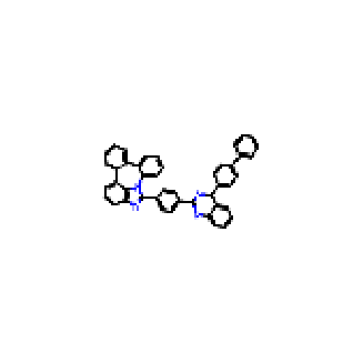 c1ccc(-c2ccc(-c3nc(-c4ccc(-c5nc6cccc7c6n5-c5ccccc5-c5ccccc5-7)cc4)nc4ccccc34)cc2)cc1